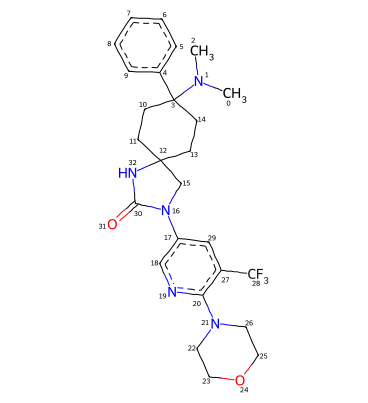 CN(C)C1(c2ccccc2)CCC2(CC1)CN(c1cnc(N3CCOCC3)c(C(F)(F)F)c1)C(=O)N2